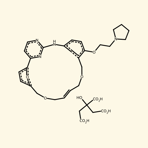 C1=C/COCc2cc(ccc2OCCN2CCCC2)Nc2nccc(n2)-c2ccc(o2)COC/1.O=C(O)CC(O)(CC(=O)O)C(=O)O